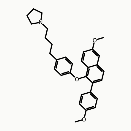 COc1ccc(-c2ccc3cc(OC)ccc3c2Oc2ccc(CCCCN3CCCC3)cc2)cc1